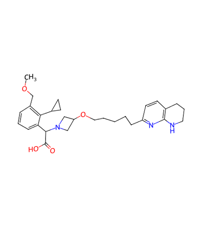 COCc1cccc(C(C(=O)O)N2CC(OCCCCCc3ccc4c(n3)NCCC4)C2)c1C1CC1